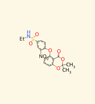 CCNS(=O)(=O)c1ccc(Oc2cccc3c2C(=O)OC(C)(C)O3)c([N+](=O)[O-])c1